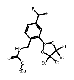 CCC1(CC)OB(c2cc(C(F)F)ccc2CNC(=O)OC(C)(C)C)OC1(CC)CC